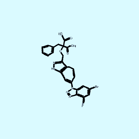 O=C(O)C(Cc1ccccc1)(OCc1n[nH]c2cc(-n3nnc4c(F)cc(Br)cc43)ccc12)C(=O)O